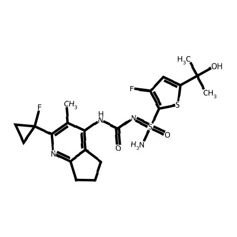 Cc1c(C2(F)CC2)nc2c(c1NC(=O)N=S(N)(=O)c1sc(C(C)(C)O)cc1F)CCC2